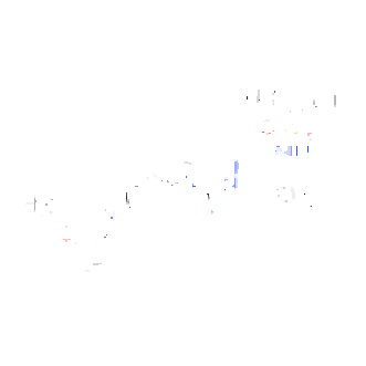 CC(CNC(=O)Nc1ccc(N2CC(C)O[C@@H](C)C2)cc1)CNS(=O)(=O)C(C)C